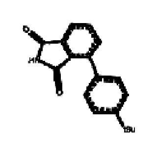 CC(C)(C)c1ccc(-c2cccc3c2C(=O)NC3=O)cc1